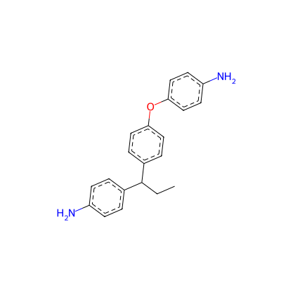 CCC(c1ccc(N)cc1)c1ccc(Oc2ccc(N)cc2)cc1